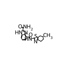 CC1CCc2nc(NC(=O)c3cccc4[nH]c(C(N)=O)nc34)sc2C1